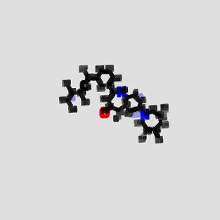 C=C1CC(/C=C\C(=C/C)N2C[C@H](C)CC(=C)[C@H](C)C2)=NC(c2cccc(C(C)=C=C(C)/C(C)=C\C)c2)=CC1=O